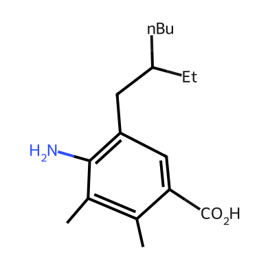 CCCCC(CC)Cc1cc(C(=O)O)c(C)c(C)c1N